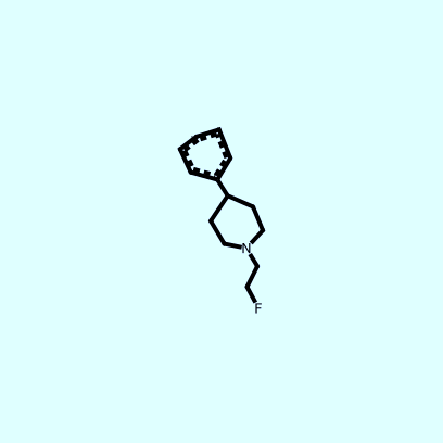 FCCN1CCC(c2cc[c]cc2)CC1